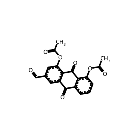 CC(=O)Oc1cccc2c1C(=O)c1c(OC(C)=O)cc(C=O)cc1C2=O